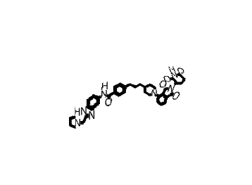 C[C@H]1CCCN1Cc1nc2cc(NC(=O)c3ccc(CCCC4CCN(c5cccc6c5C(=O)N(C5CCC(=O)NC5=O)C6=O)CC4)cc3)ccc2[nH]1